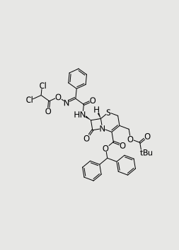 CC(C)(C)C(=O)OCC1=C(C(=O)OC(c2ccccc2)c2ccccc2)N2C(=O)[C@@H](NC(=O)C(=NOC(=O)C(Cl)Cl)c3ccccc3)[C@@H]2SC1